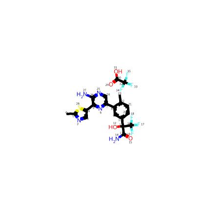 Cc1ncc(-c2nc(-c3cc(C(O)(C(N)=O)C(F)(F)F)ccc3C)cnc2N)s1.O=C(O)C(F)(F)F